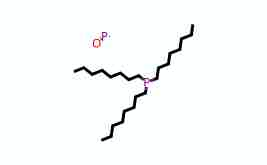 CCCCCCCCP(CCCCCCCC)CCCCCCCC.O=[P]